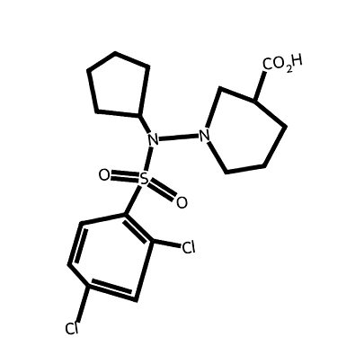 O=C(O)C1CCCN(N(C2CCCC2)S(=O)(=O)c2ccc(Cl)cc2Cl)C1